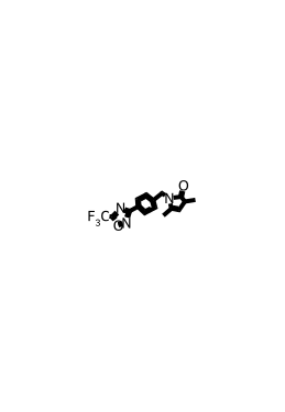 CC1=CC(C)C(=O)N1Cc1ccc(-c2noc(C(F)(F)F)n2)cc1